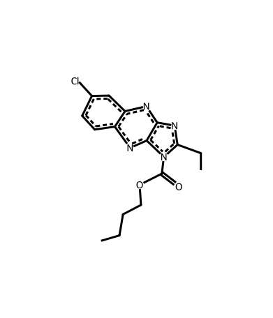 CCCCOC(=O)n1c(CC)nc2nc3cc(Cl)ccc3nc21